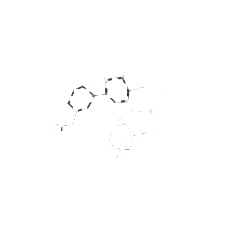 Cc1c(C(=O)O)ccc(-c2cccc(CN)c2)c1C(=O)O.O=S(=O)(O)O[C@@H]1O[C@H](CO)[C@@H](O)[C@H](O)[C@H]1O